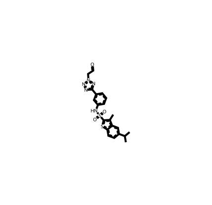 Cc1c(S(=O)(=O)Nc2cccc(-c3nnn(CC=O)n3)c2)sc2ccc(C(C)C)cc12